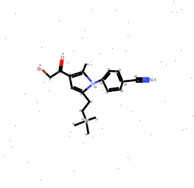 Cc1c(C(=O)CBr)cc(CC[Si](C)(C)C)n1-c1ccc(C#N)cc1